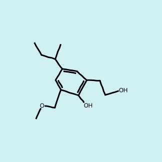 CCC(C)c1cc(CCO)c(O)c(COC)c1